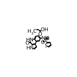 CCC(=O)O.O=c1[nH]c2ccc(NS(=O)(=O)c3cccs3)cc2c2cc[nH]c12